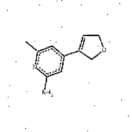 Cc1[c]c(C2=CCOC2)cc(N)n1